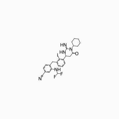 N#Cc1ccc(Cc2cccc(C3CC(=O)N(C4CCCCC4)C(=N)N3)c2I)c(NC(F)F)c1